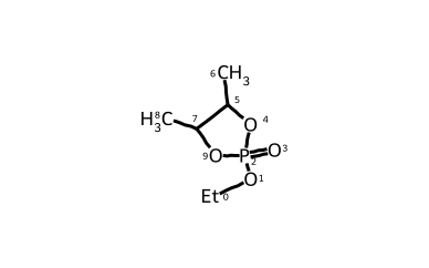 CCOP1(=O)OC(C)C(C)O1